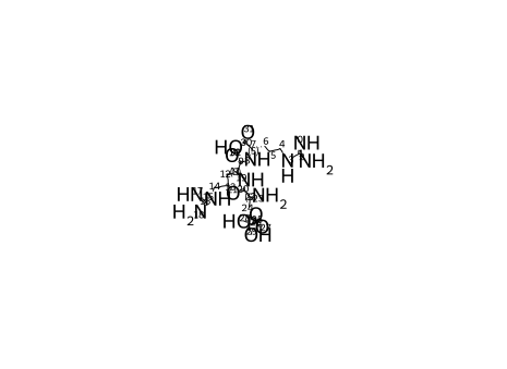 N=C(N)NCCC[C@H](NC(=O)[C@H](CCCNC(=N)N)NC(=O)[C@@H](N)COP(=O)(O)O)C(=O)O